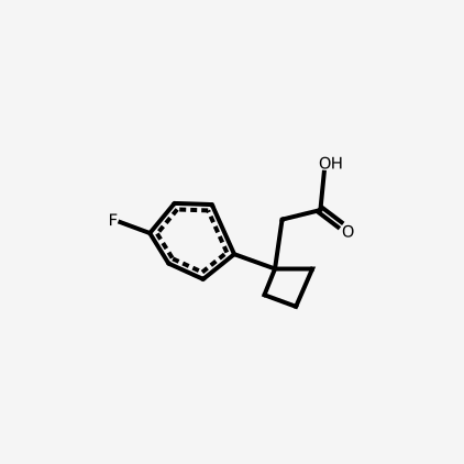 O=C(O)CC1(c2ccc(F)cc2)CCC1